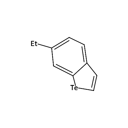 CCc1ccc2cc[te]c2c1